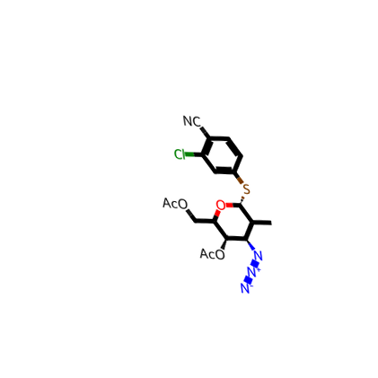 CC(=O)OCC1O[C@H](Sc2ccc(C#N)c(Cl)c2)C(C)[C@@H](N=[N+]=[N-])[C@H]1OC(C)=O